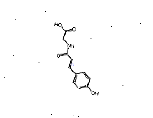 O=C(O)CNC(=O)/C=C/c1ccc(O)cc1